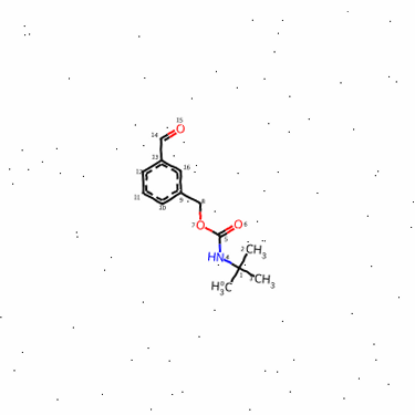 CC(C)(C)NC(=O)OCc1cccc(C=O)c1